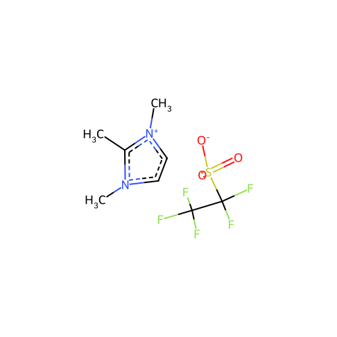 Cc1n(C)cc[n+]1C.O=S(=O)([O-])C(F)(F)C(F)(F)F